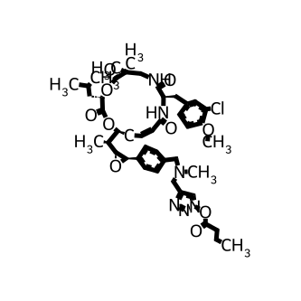 CCCC(=O)On1cc(CN(C)Cc2ccc([C@H]3O[C@@H]3[C@@H](C)[C@@H]3CC=CC(=O)N[C@H](Cc4ccc(OC)c(Cl)c4)C(=O)NCC(C)(C)C(=O)O[C@@H](CC(C)C)C(=O)O3)cc2)nn1